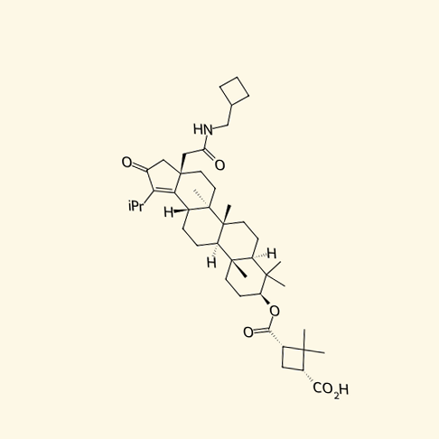 CC(C)C1=C2[C@H]3CC[C@@H]4[C@@]5(C)CC[C@H](OC(=O)[C@H]6C[C@@H](C(=O)O)C6(C)C)C(C)(C)[C@@H]5CC[C@@]4(C)[C@]3(C)CC[C@@]2(CC(=O)NCC2CCC2)CC1=O